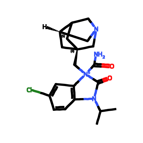 CC(C)N1C(=O)[N+](C[C@]23CC4CN(C[C@H]4C2)C3)(C(N)=O)c2cc(Cl)ccc21